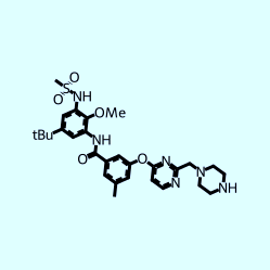 COc1c(NC(=O)c2cc(C)cc(Oc3ccnc(CN4CCNCC4)n3)c2)cc(C(C)(C)C)cc1NS(C)(=O)=O